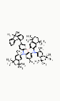 Cc1cc2c3c(c1)N(c1cc4c(cc1C)C(C)(C)CC4(C)C)c1cc4c(cc1B3c1cc(-c3cccc5c3-c3ccccc3C5(C)C)ccc1N2c1cc2c(cc1C)C(C)(C)CC2(C)C)C(C)(C)CCC4(C)C